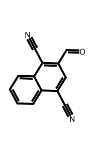 N#Cc1cc(C=O)c(C#N)c2ccccc12